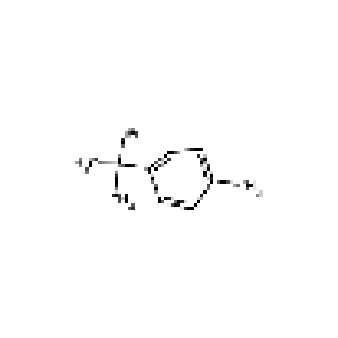 [CH2]c1ccc(C(C)(C)C(C)C)cc1